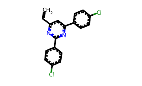 C=Cc1cc(-c2ccc(Cl)cc2)nc(-c2ccc(Cl)cc2)n1